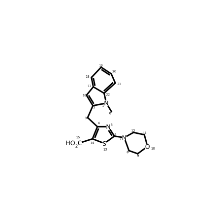 Cn1c(Cc2nc(N3CCOCC3)sc2C(=O)O)cc2ccccc21